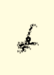 CCCC(NC(=N)N1C(N)=C(Cl)NC(C(N)=O)=C1N)c1ccc(OCCOCCOC)cc1.Cl